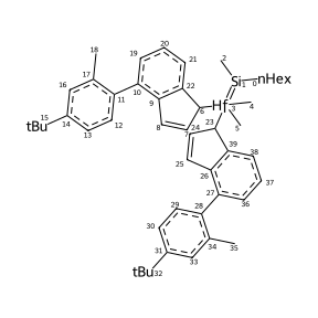 CCCCCC[Si](C)=[Hf]([CH3])([CH3])([CH]1C=Cc2c(-c3ccc(C(C)(C)C)cc3C)cccc21)[CH]1C=Cc2c(-c3ccc(C(C)(C)C)cc3C)cccc21